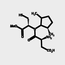 COC(=O)[C@H](CS)N(C(=O)[C@@H](N)CC(=O)O)C1C(C)CC[C@@H]1C